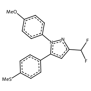 COc1ccc(-n2nc(C(F)F)cc2-c2ccc(SC)cc2)cc1